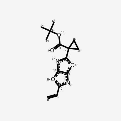 C=Cc1nc2oc(C3(C(=O)OC(C)(C)C)CC3)nc2o1